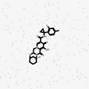 O=C(NC1(c2ccc(F)cc2F)CC1)c1cn2c(c(O)c1=O)C(=O)N1C(C2)OC2CCC[C@H]1C2